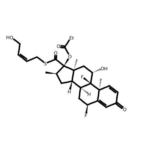 CCC(=O)O[C@]1(C(=O)SC/C=C\CO)[C@H](C)C[C@H]2[C@@H]3C[C@H](F)C4=CC(=O)C=C[C@]4(C)[C@@]3(F)[C@@H](O)C[C@@]21C